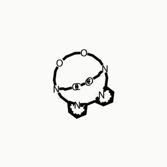 c1cc2nc(c1)-c1cccc(n1)CN1CCOCCOCCN(CCOCCOCC1)C2